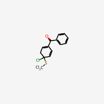 O=C(C1=CCC(Cl)(SC(Cl)(Cl)Cl)C=C1)c1ccccc1